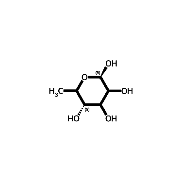 CC1O[C@@H](O)C(O)C(O)[C@@H]1O